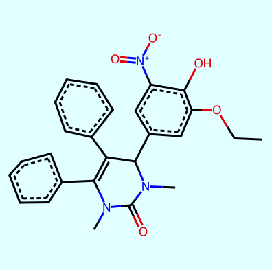 CCOc1cc(C2C(c3ccccc3)=C(c3ccccc3)N(C)C(=O)N2C)cc([N+](=O)[O-])c1O